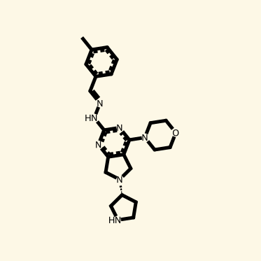 Cc1cccc(/C=N/Nc2nc3c(c(N4CCOCC4)n2)CN([C@@H]2CCNC2)C3)c1